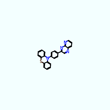 c1ccc2c(c1)Sc1ccccc1N2c1ccc(-c2cnc3cccnc3n2)cc1